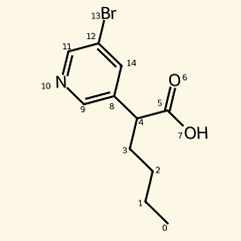 CCCCC(C(=O)O)c1cncc(Br)c1